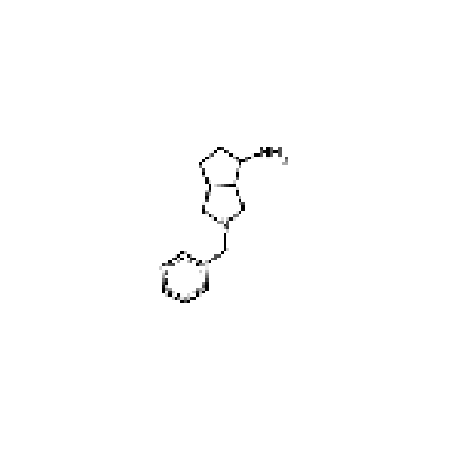 NC1CCC2CN(Cc3ccccc3)CC12